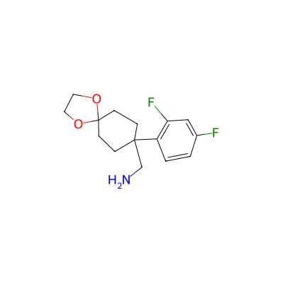 NCC1(c2ccc(F)cc2F)CCC2(CC1)OCCO2